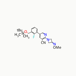 CON=C1CN(c2ncc(-c3cccc(CO[Si](C)(C)C(C)(C)C)c3F)cc2C#N)C1